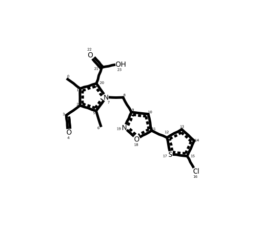 Cc1c(C=O)c(C)n(Cc2cc(-c3ccc(Cl)s3)on2)c1C(=O)O